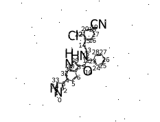 Cn1cc(-c2ccc3c(C(=O)C(NCCc4ccc(C#N)cc4Cl)c4ccccc4)c[nH]c3c2)cn1